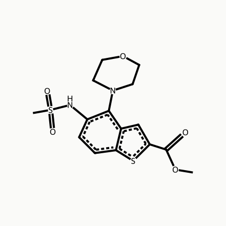 COC(=O)c1cc2c(N3CCOCC3)c(NS(C)(=O)=O)ccc2s1